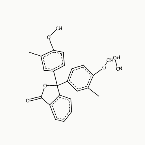 Cc1cc(C2(c3ccc(OC#N)c(C)c3)OC(=O)c3ccccc32)ccc1OC#N.N#CO